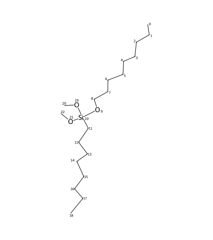 CCCCCCCCCO[Si](CCCCCCCC)(OC)OC